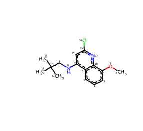 COc1cccc2c(NCC(C)(C)C)cc(Cl)nc12